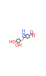 O=[N+]([O-])c1ccc2c(Cc3ccc(O)c(O)c3)c[nH]c2c1